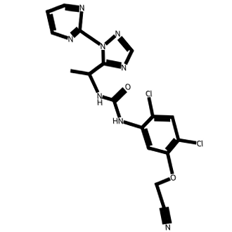 CC(NC(=O)Nc1cc(OCC#N)c(Cl)cc1Cl)c1ncnn1-c1ncccn1